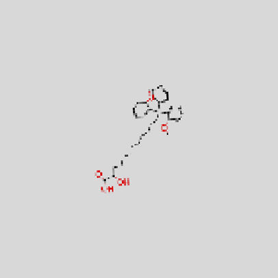 COc1ccccc1C(CCCCCCCCCCC(O)C(=O)O)(c1ccccc1)c1ccccc1OC